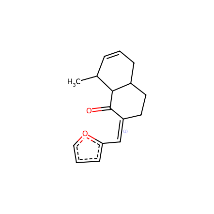 CC1C=CCC2CC/C(=C/c3ccco3)C(=O)C12